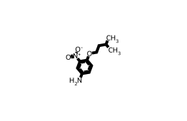 CC(C)CCOc1ccc(N)cc1[N+](=O)[O-]